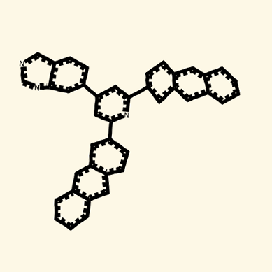 c1ccc2cc3cc(-c4cc(-c5ccc6cncnc6c5)cc(-c5ccc6cc7ccccc7cc6c5)n4)ccc3cc2c1